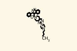 CCCCCN1CCN(c2ncc3c(n2)CCN(C(=O)c2c(-c4ccccc4)nnc4ccccc24)CC3)CC1